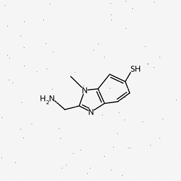 Cn1c(CN)nc2ccc(S)cc21